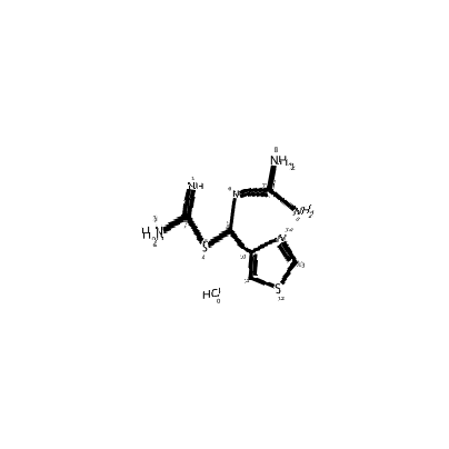 Cl.N=C(N)SC(N=C(N)N)c1cscn1